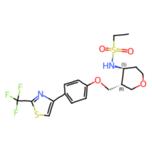 CCS(=O)(=O)N[C@H]1CCOC[C@@H]1COc1ccc(-c2csc(C(F)(F)F)n2)cc1